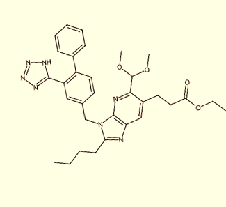 CCCCc1nc2cc(CCC(=O)OCC)c(C(OC)OC)nc2n1Cc1ccc(-c2ccccc2)c(-c2nnn[nH]2)c1